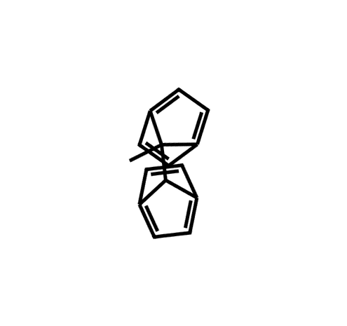 CC1(C2C3=CC=C2C=C3)C2=CC=C1C=C2